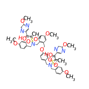 COc1ccc(CN(Cc2ccc(OCc3cc(OC)ccc3CN(Cc3ccc(OC)cc3)S(=O)(=O)[C@@H](C)[C@@H](O)c3cnc(OC)cn3)cc2)S(=O)(=O)[C@H](C)[C@H](O)c2cnc(OC)cn2)cc1